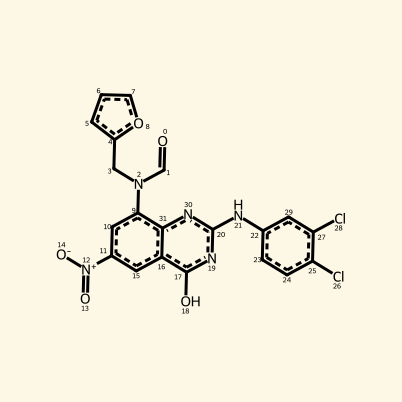 O=CN(Cc1ccco1)c1cc([N+](=O)[O-])cc2c(O)nc(Nc3ccc(Cl)c(Cl)c3)nc12